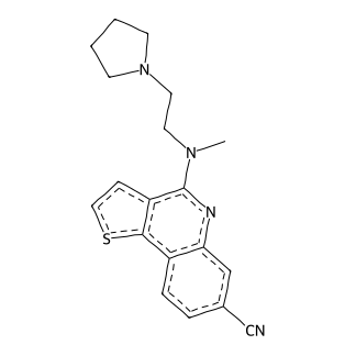 CN(CCN1CCCC1)c1nc2cc(C#N)ccc2c2sccc12